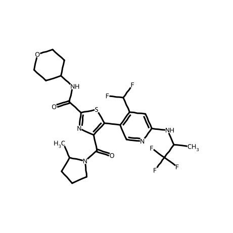 CC1CCCN1C(=O)c1nc(C(=O)NC2CCOCC2)sc1-c1cnc(NC(C)C(F)(F)F)cc1C(F)F